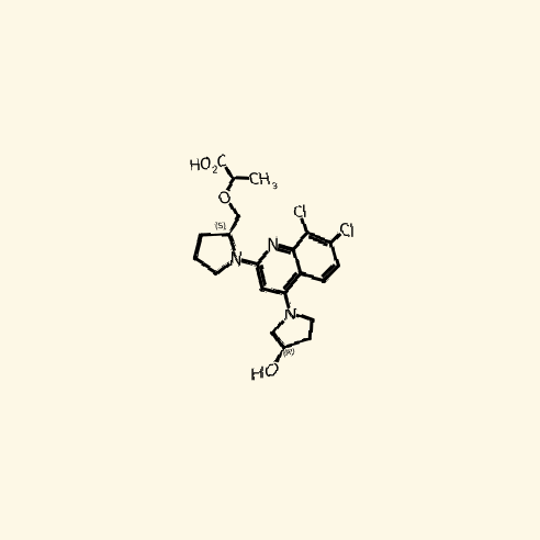 CC(OC[C@@H]1CCCN1c1cc(N2CC[C@@H](O)C2)c2ccc(Cl)c(Cl)c2n1)C(=O)O